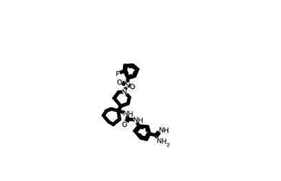 N=C(N)c1cccc(NC(=O)NC2(C3CCN(S(=O)(=O)c4ccccc4F)CC3)CCCCCC2)c1